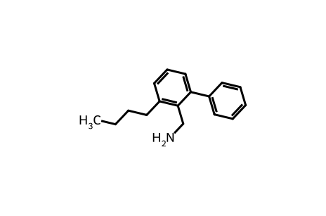 CCCCc1cccc(-c2ccccc2)c1CN